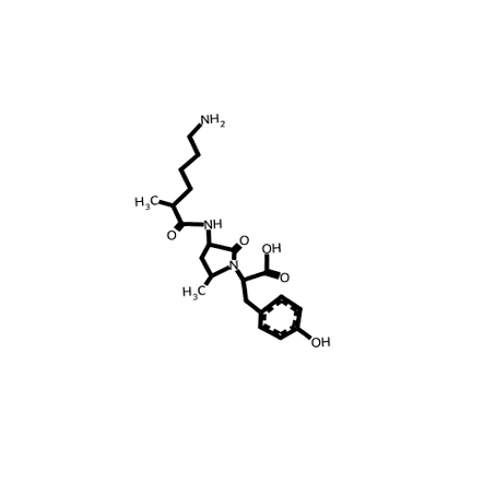 CC(CCCCN)C(=O)NC1CC(C)N(C(Cc2ccc(O)cc2)C(=O)O)C1=O